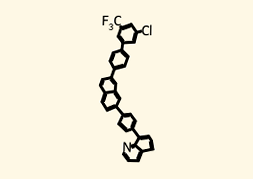 FC(F)(F)c1cc(Cl)cc(-c2ccc(-c3ccc4ccc(-c5ccc(-c6cccc7cccnc67)cc5)cc4c3)cc2)c1